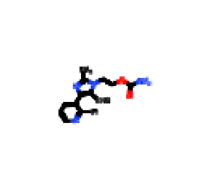 Cc1nc(-c2cccnc2C(C)C)c(C=O)n1CCOC(N)=O